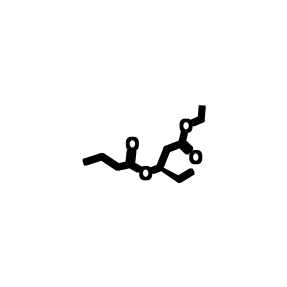 CCCC(=O)O[C@H](CC)CC(=O)OCC